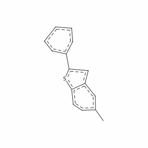 Cc1ccc2sc(-c3ccccc3)cc2c1